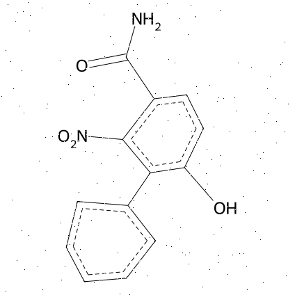 NC(=O)c1ccc(O)c(-c2ccccc2)c1[N+](=O)[O-]